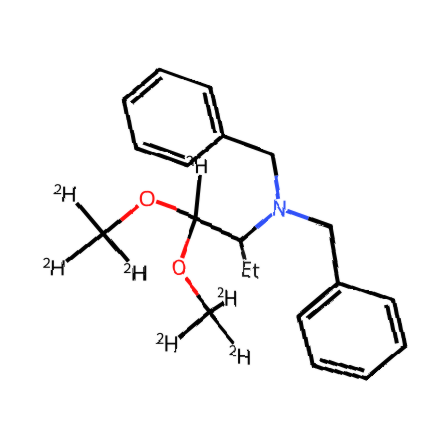 [2H]C([2H])([2H])OC([2H])(OC([2H])([2H])[2H])C(CC)N(Cc1ccccc1)Cc1ccccc1